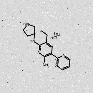 Cc1nc2c(cc1-c1ncccn1)CC[C@@]1(CCNC1)N2.Cl.Cl